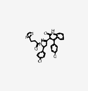 O=C(CCc1nccs1)N1N=C(c2c(-c3ccc(Cl)cc3)c3ccccc3[nH]c2=O)CC1c1ccc(Cl)cc1